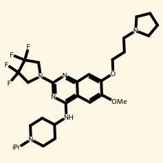 COc1cc2c(NC3CCN(C(C)C)CC3)nc(N3CC(F)(F)C(F)(F)C3)nc2cc1OCCCN1CCCC1